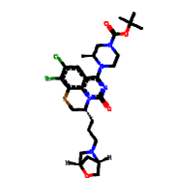 C[C@H]1CN(C(=O)OC(C)(C)C)CCN1c1nc(=O)n2c3c(c(Br)c(Cl)cc13)SC[C@H]2CCCN1C[C@@H]2C[C@H]1CO2